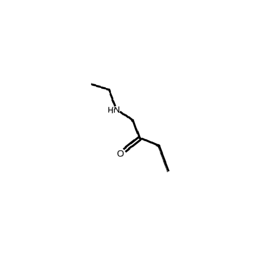 CCNCC(=O)CC